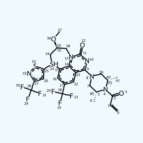 C=CC(=O)N1[C@H](C)CN(c2nc(=O)n3c4c(cc(C(F)(F)F)cc24)[SH](c2cc(C(F)(F)F)ns2)C[C@@H](OC)C3)C[C@@H]1C